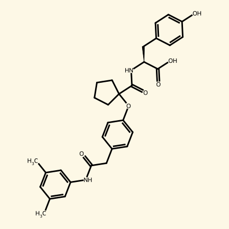 Cc1cc(C)cc(NC(=O)Cc2ccc(OC3(C(=O)N[C@@H](Cc4ccc(O)cc4)C(=O)O)CCCC3)cc2)c1